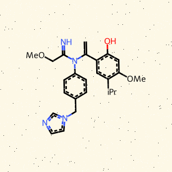 C=C(c1cc(C(C)C)c(OC)cc1O)N(C(=N)COC)c1ccc(Cn2ccnc2)cc1